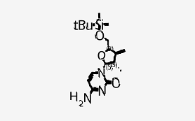 C=C1[C@H](CO[Si](C)(C)C(C)(C)C)O[C@H](n2ccc(N)nc2=O)[C@H]1C